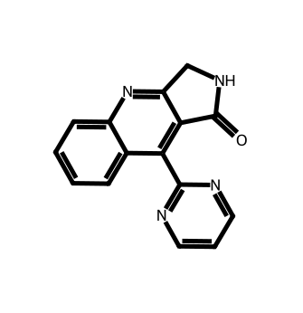 O=C1NCc2nc3ccccc3c(-c3ncccn3)c21